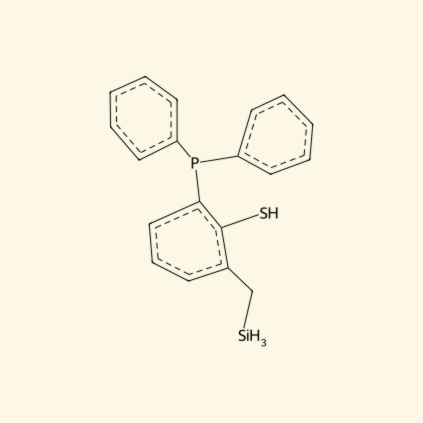 [SiH3]Cc1cccc(P(c2ccccc2)c2ccccc2)c1S